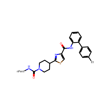 CCCCCNC(=O)N1CCC(c2nc(C(=O)Nc3ccccc3-c3ccc(CC)cc3)cs2)CC1